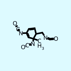 CC1(N=C=O)C=C(N=C=O)C=CC1CN=C=O